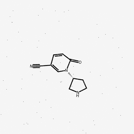 N#Cc1ccc(=O)n([C@@H]2CCNC2)c1